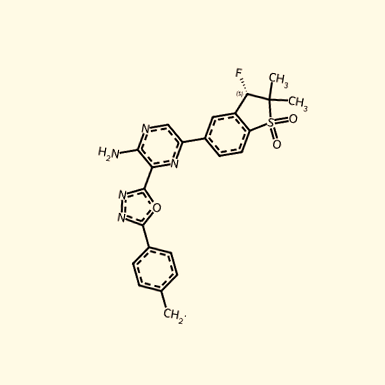 [CH2]c1ccc(-c2nnc(-c3nc(-c4ccc5c(c4)[C@H](F)C(C)(C)S5(=O)=O)cnc3N)o2)cc1